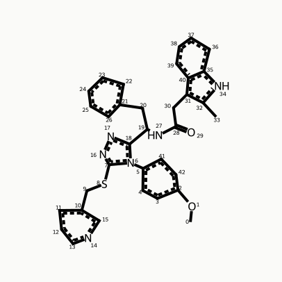 COc1ccc(-n2c(SCc3cccnc3)nnc2C(Cc2ccccc2)NC(=O)Cc2c(C)[nH]c3ccccc23)cc1